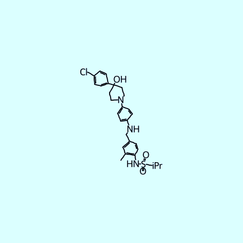 Cc1cc(CNc2ccc(N3CCC(O)(c4ccc(Cl)cc4)CC3)cc2)ccc1NS(=O)(=O)C(C)C